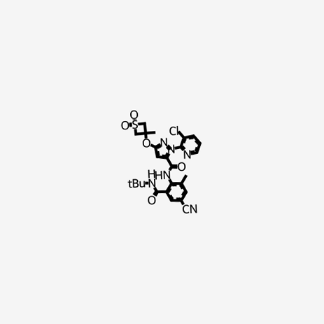 Cc1cc(C#N)cc(C(=O)NC(C)(C)C)c1NC(=O)c1cc(OC2(C)CS(=O)(=O)C2)nn1-c1ncccc1Cl